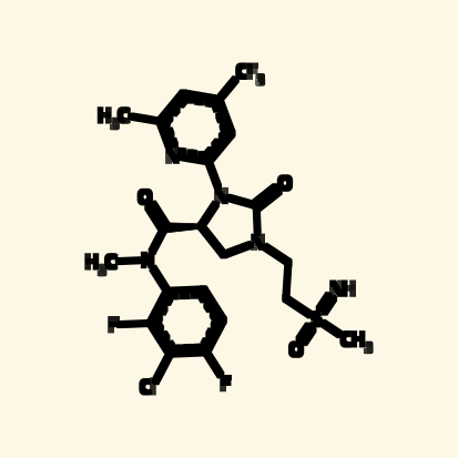 Cc1cc(C(F)(F)F)cc(N2C(=O)N(CCS(C)(=N)=O)C[C@H]2C(=O)N(C)c2ccc(F)c(Cl)c2F)n1